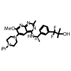 COc1nc2nc(C)nc(N[C@H](C)c3cccc(C(F)(F)C(C)(C)O)c3)c2cc1N1CCN(C(C)C)CC1